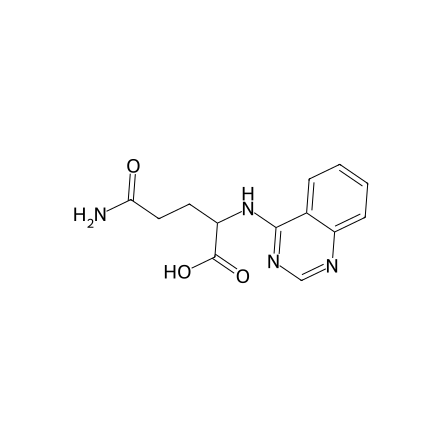 NC(=O)CCC(Nc1ncnc2ccccc12)C(=O)O